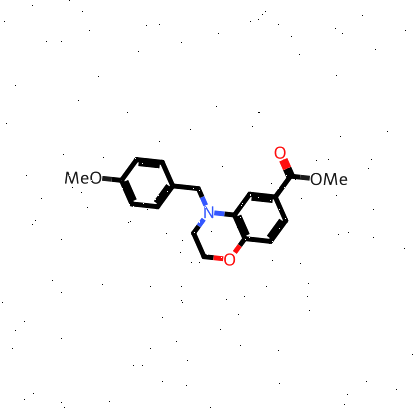 COC(=O)c1ccc2c(c1)N(Cc1ccc(OC)cc1)CCO2